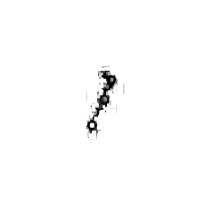 O=C(COc1ccc(Cl)c(F)c1)N[C@H]1CC[C@H](C(=O)Nc2ccnc(C(F)(F)F)n2)NC1